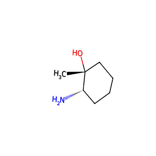 C[C@@]1(O)CCCC[C@@H]1N